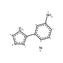 Nc1cccc(-c2nnn[nH]2)c1.[Ni]